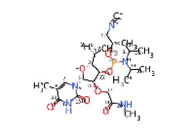 [2H][C@H](C)[C@H]1O[C@@H](n2cc(C)c(=O)[nH]c2=O)[C@H](OCC(=O)NC)[C@@H]1OP(OCC[N+]#[C-])N(C(C)C)C(C)C